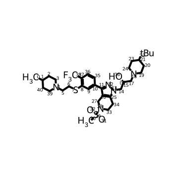 CC1CCN(CCSc2cc(-c3nn(C[C@@H](O)CN4CCC(C(C)(C)C)CC4)c4c3CN(S(C)(=O)=O)CC4)ccc2C(F)(F)F)CC1